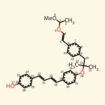 COC(C)OC=Cc1ccc(CC(C)(C)Oc2ccc(C=CC=Cc3ccc(O)cc3)cc2)cc1